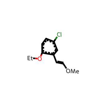 CCOc1ccc(Cl)cc1/C=C/OC